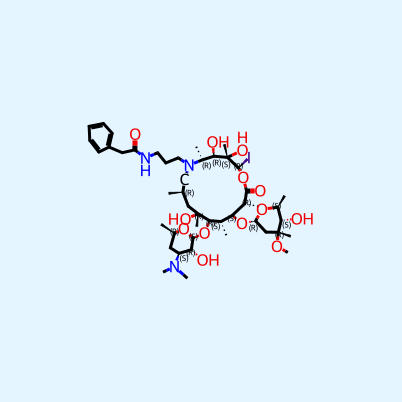 CO[C@]1(C)C[C@H](O[C@H]2[C@H](C)[C@@H](O[C@@H]3O[C@H](C)C[C@H](N(C)C)[C@H]3O)[C@](C)(O)C[C@@H](C)CN(CCCNC(=O)Cc3ccccc3)[C@H](C)[C@@H](O)[C@](C)(O)[C@@H](I)OC(=O)[C@@H]2C)O[C@@H](C)[C@@H]1O